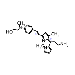 CC1=CC(/C=C/c2ccc(N(C)CCO)cc2)=NC/1=C(/CCN)c1cccn1C